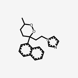 CC1CCC(CCn2ccnc2)(c2cccc3ccccc23)OO1